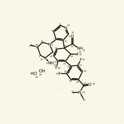 C[C@@H]1C[C@H](N)CN(c2ccncc2C2(C(N)=O)C=CC(F)=C(c3c(F)cc(C(=O)N(C)C)cc3F)C2F)C1.Cl.Cl